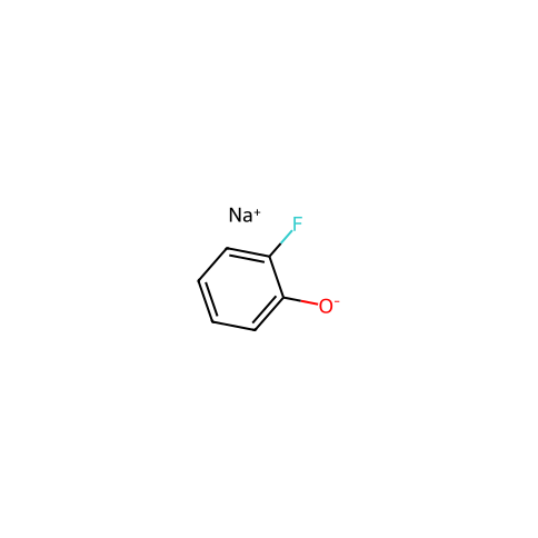 [Na+].[O-]c1ccccc1F